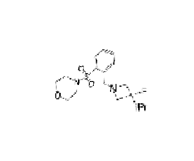 CC(C)C1(F)CN(Cc2ccccc2S(=O)(=O)N2CCOCC2)C1